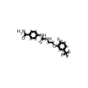 NC(=O)c1ccc(NC(=S)NCCOc2cc(C(F)(F)F)ccc2F)cc1